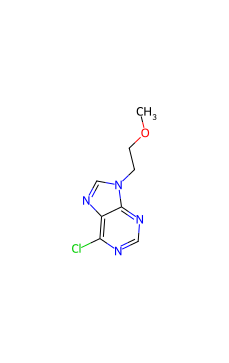 COCCn1cnc2c(Cl)ncnc21